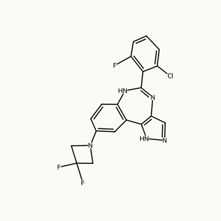 Fc1cccc(Cl)c1C1=Nc2cn[nH]c2-c2cc(N3CC(F)(F)C3)ccc2N1